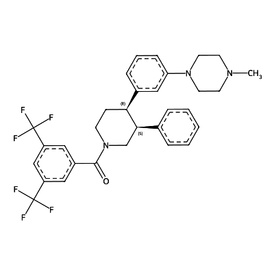 CN1CCN(c2cccc([C@@H]3CCN(C(=O)c4cc(C(F)(F)F)cc(C(F)(F)F)c4)C[C@@H]3c3ccccc3)c2)CC1